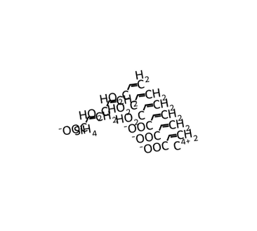 C=CC(=O)O.C=CC(=O)O.C=CC(=O)O.C=CC(=O)O.C=CC(=O)[O-].C=CC(=O)[O-].C=CC(=O)[O-].C=CC(=O)[O-].[C+4].[SiH4]